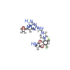 Nc1nc(NCCN2CCN(c3cc(O[C@H]4CCNC4=O)c(F)cc3F)CC2)nc2cc(-c3ccco3)nn12